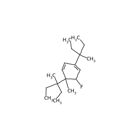 CCC(C)(CC)C1=CC(F)C(C)(C(C)(CC)CC)C=C1